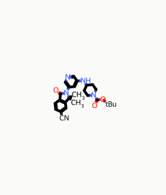 CC(C)(C)OC(=O)N1CCC(Nc2cncc(N3C(=O)c4ccc(C#N)cc4C3(C)C)c2)CC1